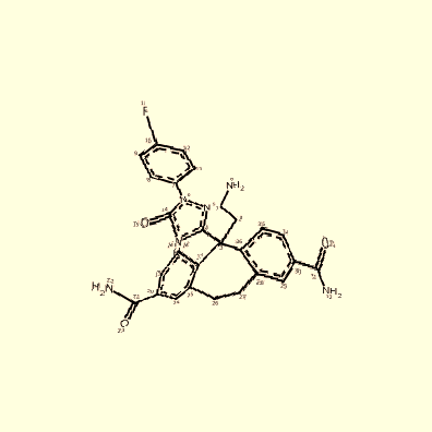 NCCC1(c2nn(-c3ccc(F)cc3)c(=O)[nH]2)c2ccc(C(N)=O)cc2CCc2cc(C(N)=O)ccc21